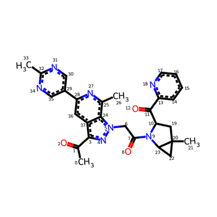 CC(=O)c1nn(CC(=O)N2C(C(=O)c3ccccn3)CC3(C)CC23)c2c(C)nc(-c3cnc(C)nc3)cc12